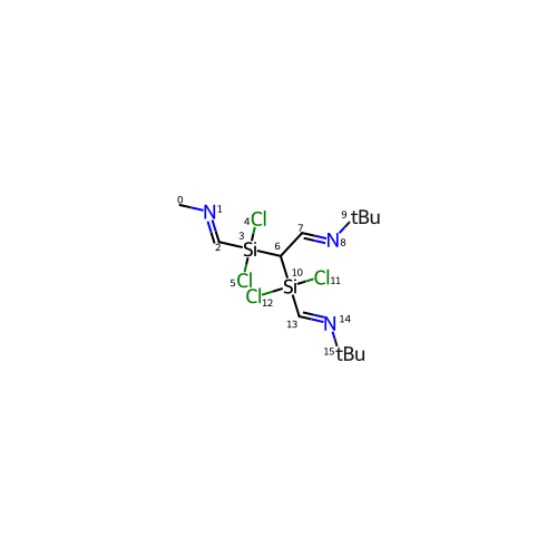 CN=C[Si](Cl)(Cl)C(C=NC(C)(C)C)[Si](Cl)(Cl)C=NC(C)(C)C